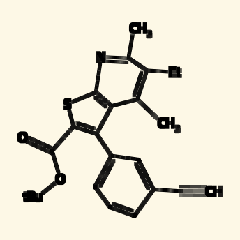 C#Cc1cccc(-c2c(C(=O)OC(C)(C)C)sc3nc(C)c(CC)c(C)c23)c1